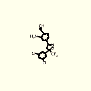 C#Cc1ccc(C2=NOC(c3cc(Cl)cc(Cl)c3)(C(F)(F)F)C2)cc1N